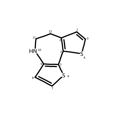 c1cc2c(s1)-c1sccc1NCC2